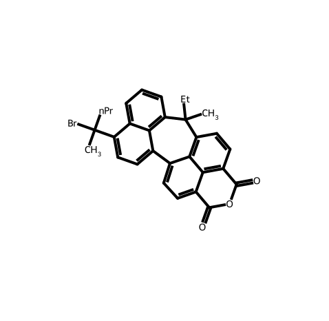 CCCC(C)(Br)c1ccc2c3c(cccc13)C(C)(CC)c1ccc3c4c(ccc-2c14)C(=O)OC3=O